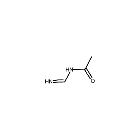 CC(=O)NC=N